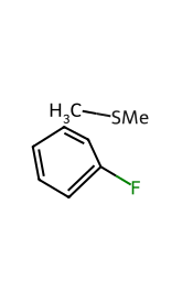 CSC.Fc1ccccc1